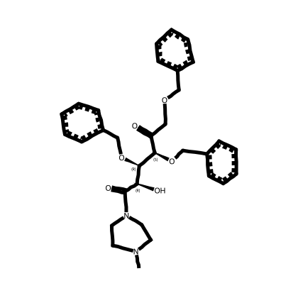 CN1CCN(C(=O)[C@H](O)[C@@H](OCc2ccccc2)[C@H](OCc2ccccc2)C(=O)COCc2ccccc2)CC1